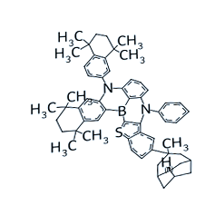 CC1(C)CCC(C)(C)c2cc(N3c4cc5c(cc4B4c6sc7ccc(C8(C)CC9CC%10CC(C8)[C@@H]%10C9)cc7c6N(c6ccccc6)c6cccc3c64)C(C)(C)CCC5(C)C)ccc21